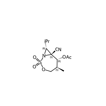 CC(=O)O[C@@H]1[C@@H](C)COS(=O)(=O)N2[C@H](C(C)C)[C@]12C#N